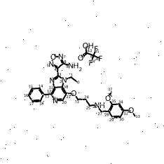 CCn1c(-c2nonc2N)nc2c(-c3ccccc3)ncc(OCCCNCc3ccc(OC)cc3OC)c21.O=C(O)C(F)(F)F